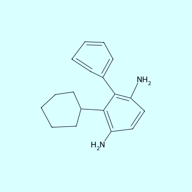 Nc1ccc(N)c(C2CCCCC2)c1-c1ccccc1